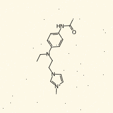 CCN(CCn1cc[n+](C)c1)c1ccc(NC(C)=O)cc1